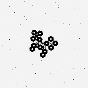 c1ccc(C2(c3ccccc3)c3ccccc3-c3c2ccc2c3B3c4ccc5ccccc5c4-c4cc5c6c(c43)N2c2ccc([Si](c3ccccc3)(c3ccccc3)c3ccccc3)cc2B6c2ccc3ccccc3c2-5)cc1